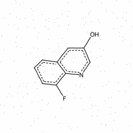 Oc1cnc2c(F)cccc2c1